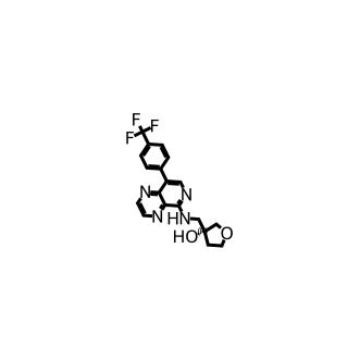 O[C@@]1(CNc2ncc(-c3ccc(C(F)(F)F)cc3)c3nccnc23)CCOC1